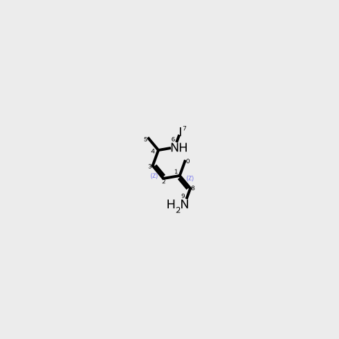 CC(/C=C\C(C)NI)=C/N